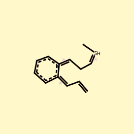 C=C/C=c1/cccc/c1=C/C/C=[SH]\C